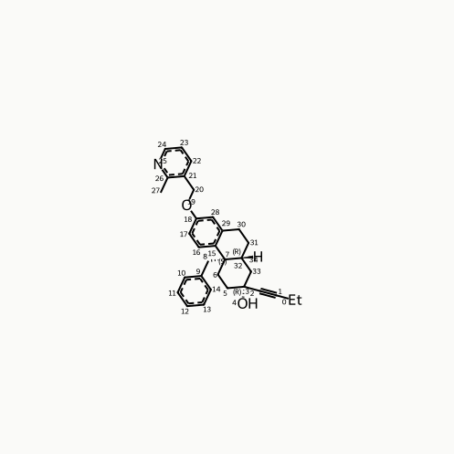 CCC#C[C@@]1(O)CC[C@@]2(Cc3ccccc3)c3ccc(OCc4cccnc4C)cc3CC[C@@H]2C1